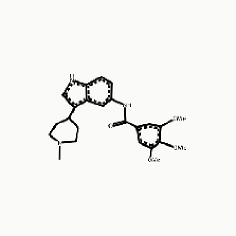 COc1cc(C(=O)Nc2ccc3[nH]cc(C4CCN(C)CC4)c3c2)cc(OC)c1OC